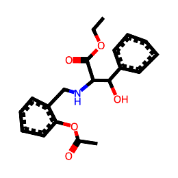 CCOC(=O)C(NCc1ccccc1OC(C)=O)C(O)c1ccccc1